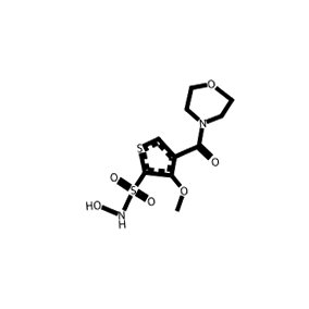 COc1c(C(=O)N2CCOCC2)csc1S(=O)(=O)NO